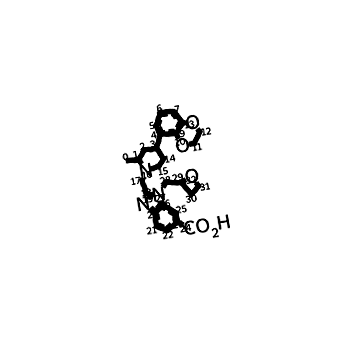 CC1CC(c2cccc3c2OCCO3)CCN1Cc1nc2ccc(C(=O)O)cc2n1CC1CCO1